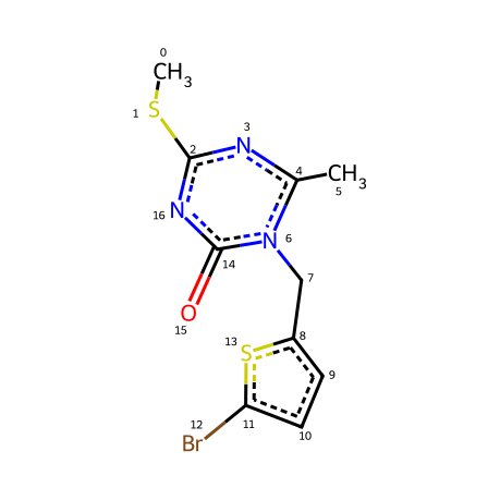 CSc1nc(C)n(Cc2ccc(Br)s2)c(=O)n1